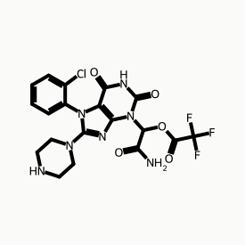 NC(=O)C(OC(=O)C(F)(F)F)n1c(=O)[nH]c(=O)c2c1nc(N1CCNCC1)n2-c1ccccc1Cl